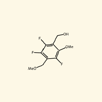 COCc1c(F)c(F)c(CO)c(OC)c1F